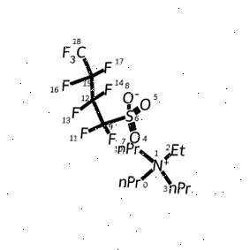 CCC[N+](CC)(CCC)CCC.O=S(=O)([O-])C(F)(F)C(F)(F)C(F)(F)C(F)(F)F